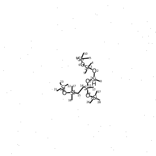 C[SiH](O[Si](C)(C)O[Si](C)(C)C)O[Si](C)(CC[Si](C)(C)O[Si](C)(C)C)O[Si](C)(C)C